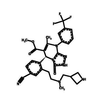 COC(=O)C1=C(C)N(c2cccc(C(F)(F)F)c2)c2n[nH]c(=O)n2[C@@H]1c1ccc(C#N)cc1CCN(C)CC1CNC1